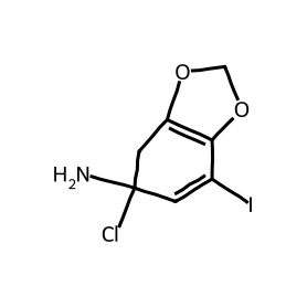 NC1(Cl)C=C(I)C2=C(C1)OCO2